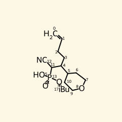 C=CCCC(C1CCOCC1)C(C#N)P(=O)(O)OC(C)CC